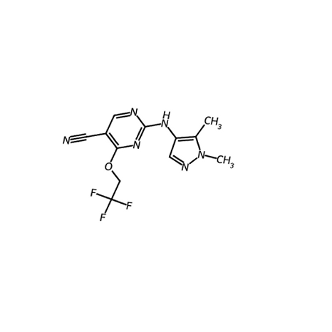 Cc1c(Nc2ncc(C#N)c(OCC(F)(F)F)n2)cnn1C